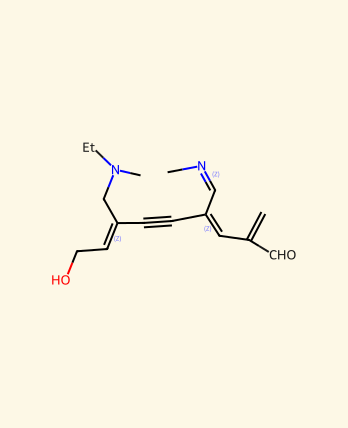 C=C(C=O)/C=C(C#C/C(=C/CO)CN(C)CC)\C=N/C